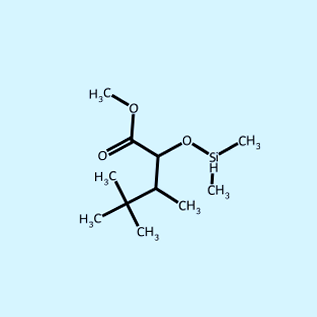 COC(=O)C(O[SiH](C)C)C(C)C(C)(C)C